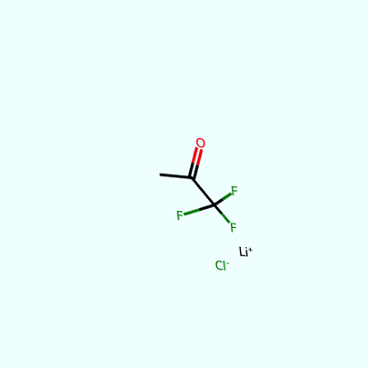 CC(=O)C(F)(F)F.[Cl-].[Li+]